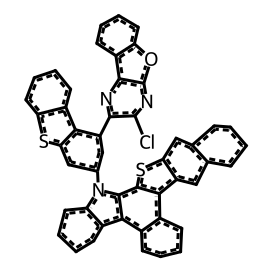 Clc1nc2oc3ccccc3c2nc1-c1cc(-n2c3ccccc3c3c4ccccc4c4c5cc6ccccc6cc5sc4c32)cc2sc3ccccc3c12